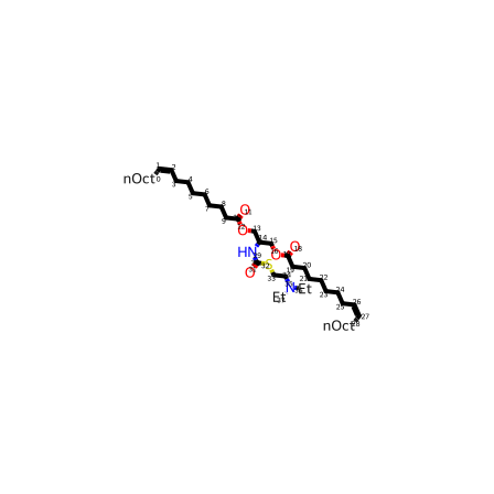 CCCCCCCC/C=C\CCCCCCCC(=O)OCC(COC(=O)CCCCCCC/C=C\CCCCCCCC)NC(=O)SCCN(CC)CC